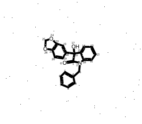 O=C1N(Cc2ccccc2)c2ccccc2C1(O)c1ccc2c(c1)OCO2